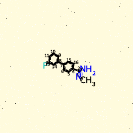 C/N=C(\N)c1ccc(-c2cccc(F)c2)cc1